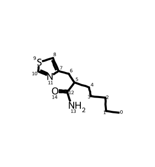 CCCCCC(Cc1cscn1)C(N)=O